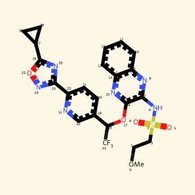 COCCS(=O)(=O)Nc1nc2ccccc2nc1OC(c1ccc(-c2noc(C3CC3)n2)nc1)C(F)(F)F